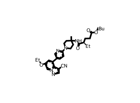 CCOc1cc(-c2ccc(N3CCC(C)(NC(=O)[C@H](CC)CCC(=O)OC(C)(C)C)CC3)nc2)c2c(C#N)cnn2c1